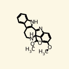 COC(=O)C12NCCc3c([nH]c4ccccc34)C1=Nc1ccc(OC)cc12